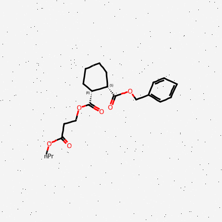 CCCOC(=O)CCOC(=O)[C@@H]1CCCC[C@@H]1C(=O)OCc1ccccc1